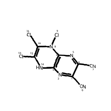 N#Cc1nc2c(nc1C#N)N(Cl)C(Cl)=C(Cl)N2